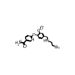 CCOc1cc(CNCCC(C)(C)C)ccc1Oc1ccc(C(N)=O)cn1